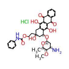 CO[C@@H]1[C@H](C)O[C@@H](O[C@H]2C[C@](O)(CCOC(=O)Nc3ccccc3)Cc3c(O)c4c(c(O)c32)C(=O)c2ccccc2C4=O)C[C@@H]1N.Cl